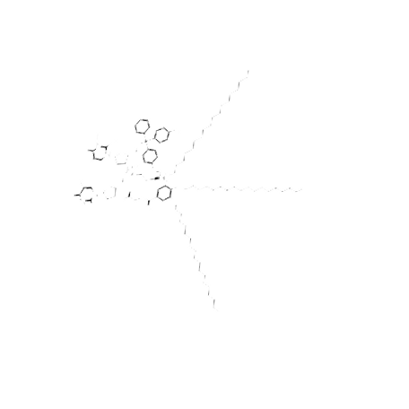 CCCCCCCCCCCCCCCCCCOc1cc(C(=O)OCC(=O)O[C@H]2C[C@H](n3cc(C)c(=O)[nH]c3=O)O[C@@H]2COP(=S)(OCCC#N)[C@H]2C[C@H](n3cc(C)c(=O)[nH]c3=O)O[C@@H]2COC(c2ccccc2)(c2ccc(OC)cc2)c2ccc(OC)cc2)cc(OCCCCCCCCCCCCCCCCCC)c1OCCCCCCCCCCCCCCCCCC